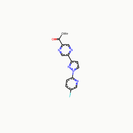 COC(=O)c1cnc(-c2ccn(-c3ccc(F)cn3)n2)cn1